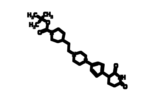 CC(C)(C)OC(=O)N1CCC(CCN2CCN(c3ccc(C4CCC(=O)NC4=O)cc3)CC2)CC1